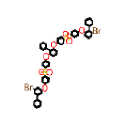 O=S(=O)(c1ccc(Oc2cc(Br)cc(-c3ccccc3)c2)cc1)c1ccc(Oc2cccc(Oc3ccc(S(=O)(=O)c4ccc(Oc5cccc(Br)c5-c5ccccc5)cc4)cc3)c2-c2ccccc2)cc1